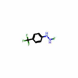 FNNc1ccc(C(F)(F)F)cc1